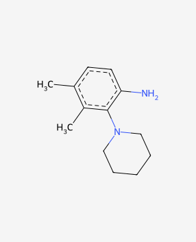 Cc1ccc(N)c(N2CCCCC2)c1C